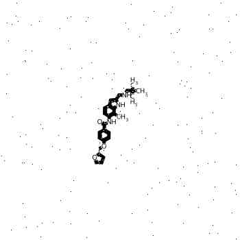 Cc1c(NC(=O)c2ccc(OC[C@@H]3CCCO3)cc2)ccc2cc(CNCC(C)(C)C)[nH]c12